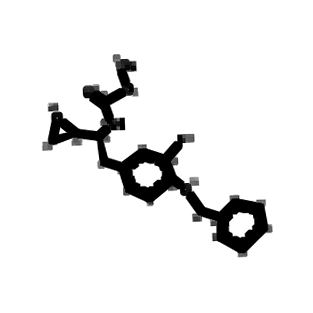 CC(C)(C)OC(=O)N[C@@H](Cc1ccc(OCc2ccccc2)c(F)c1)[C@H]1CO1